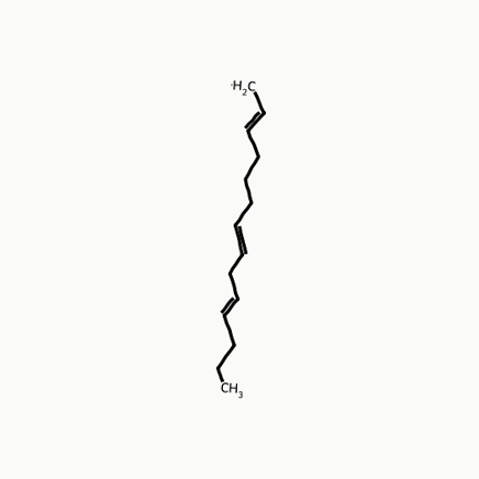 [CH2]C=CCCCC=CCC=CCCC